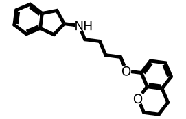 c1ccc2c(c1)CC(NCCCCOc1cccc3c1OCCC3)C2